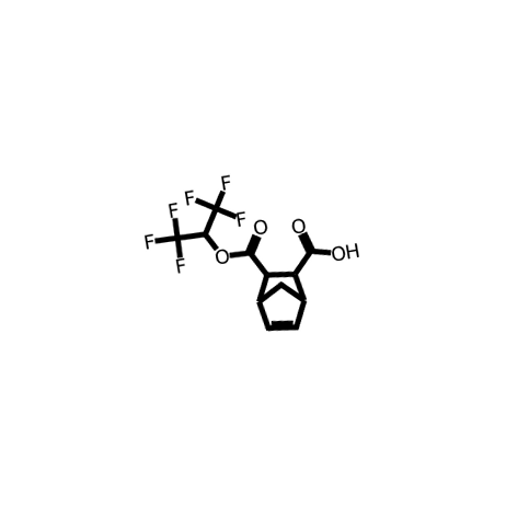 O=C(O)C1C2C=CC(C2)C1C(=O)OC(C(F)(F)F)C(F)(F)F